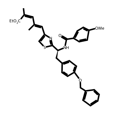 CCOC(=O)/C(C)=C\C(C)=C\c1csc([C@H](Cc2ccc(OCc3ccccc3)cc2)NC(=O)c2ccc(OC)cc2)n1